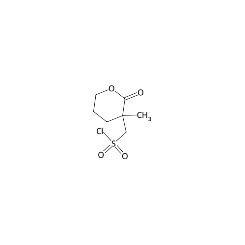 CC1(CS(=O)(=O)Cl)CCCOC1=O